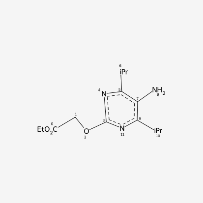 CCOC(=O)COc1nc(C(C)C)c(N)c(C(C)C)n1